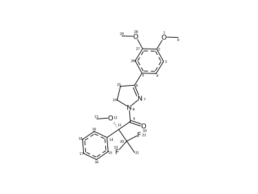 COc1ccc(C2=NN(C(=O)[C@](OC)(c3ccccc3)C(C)(F)F)CC2)cc1OC